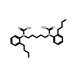 CCCCc1ccccc1N(CCCCCN(C(=O)O)c1ccccc1CCCC)C(=O)O